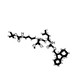 COC(=O)[C@H](CCCCNC(=O)OC(C)(C)C)NC[C@H](CC(C)C)NC(=O)OCC1c2ccccc2-c2ccccc21